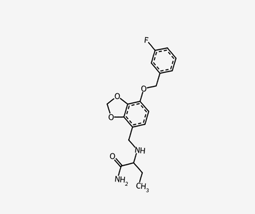 CCC(NCc1ccc(OCc2cccc(F)c2)c2c1OCO2)C(N)=O